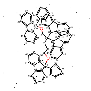 c1ccc([Si](OCCCC(CO[Si](c2ccccc2)(c2ccccc2)c2ccccc2)(C2c3ccccc3-c3ccccc32)C2c3ccccc3-c3ccccc32)(c2ccccc2)c2ccccc2)cc1